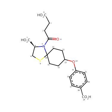 O=C(O)CCC(=O)N1[C@H](C(=O)O)CSC12CCC(Oc1ccc(C(=O)O)cc1)CC2